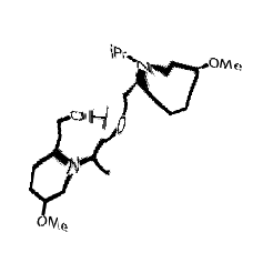 COC1CCC(CO)N(C(C)COC[C@@H]2CC[C@H](OC)CN2C(C)C)C1